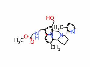 COC(=O)CNCc1ccc(CN2[C@@H](c3ncccc3C)CCC[C@H]2c2ncccc2C)c(CO)c1